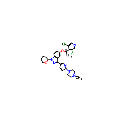 C[C@@H](Oc1ccc2c(c1)c(-c1ccc(N3CCN(C)CC3)nc1)nn2C1CCCCO1)c1c(Cl)cncc1Cl